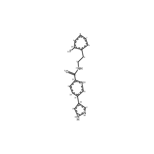 O=C(NCCc1ccccc1F)c1ccc(-c2cn[nH]c2)cn1